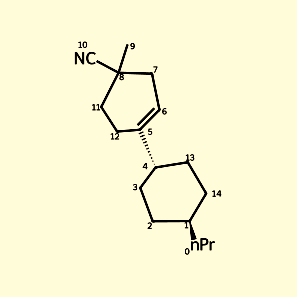 CCC[C@H]1CC[C@H](C2=CCC(C)(C#N)CC2)CC1